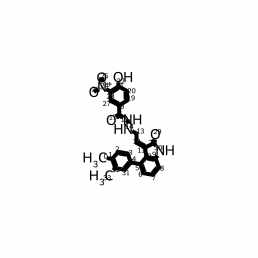 Cc1ccc(-c2cccc3c2C(=CCNNC(=O)c2ccc(O)c([N+](=O)[O-])c2)C(=O)N3)cc1C